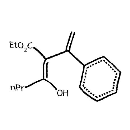 C=C(C(C(=O)OCC)=C(O)CCC)c1ccccc1